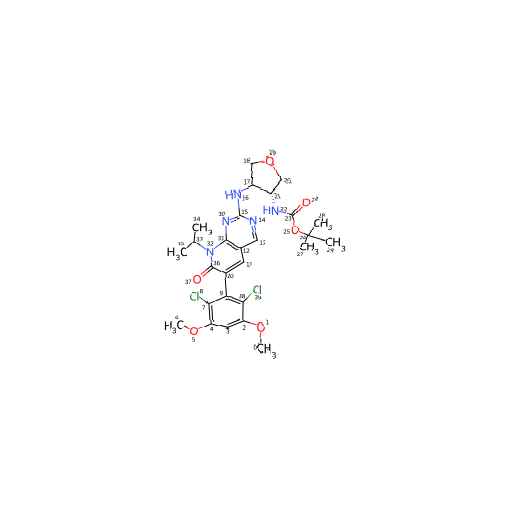 COc1cc(OC)c(Cl)c(-c2cc3cnc(NC4COC[C@@H]4NC(=O)OC(C)(C)C)nc3n(C(C)C)c2=O)c1Cl